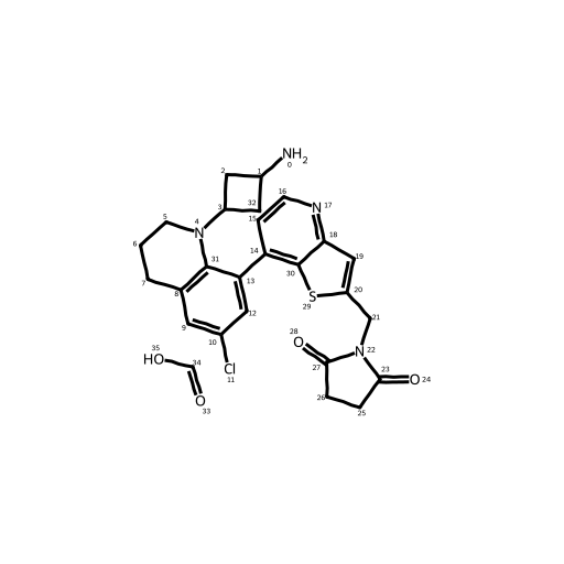 NC1CC(N2CCCc3cc(Cl)cc(-c4ccnc5cc(CN6C(=O)CCC6=O)sc45)c32)C1.O=CO